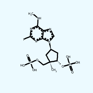 CNc1nc(I)nc2c1ncn2[C@H]1C[C@H](OP(=O)(O)O)[C@@](C)(COP(=O)(O)O)C1